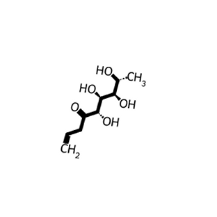 C=CCC(=O)[C@@H](O)[C@@H](O)[C@H](O)[C@@H](C)O